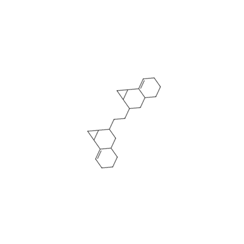 C1=C2C(CCC1)CC(CCC1CC3CCCC=C3C3CC13)C1CC21